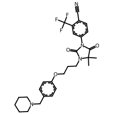 CC1(C)C(=O)N(c2ccc(C#N)c(C(F)(F)F)c2)C(=O)N1CCCOc1ccc(CN2CCCCC2)cc1